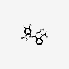 O=[N+]([O-])c1cc(F)c(Br)cc1N[C@H](CCO)c1ccccc1OC(F)F